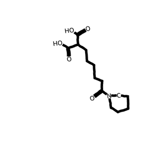 O=C(O)C(CCCCCC(=O)N1CCCCC1)C(=O)O